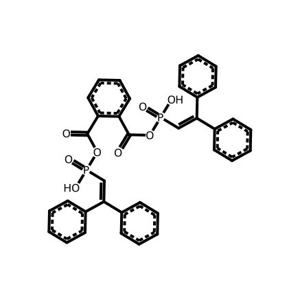 O=C(OP(=O)(O)C=C(c1ccccc1)c1ccccc1)c1ccccc1C(=O)OP(=O)(O)C=C(c1ccccc1)c1ccccc1